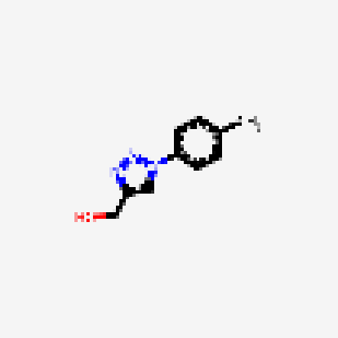 Cc1ccc(-n2cc(CO)nn2)cc1